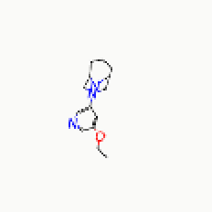 CCOc1cncc(N2CC3CCCC(C2)N3C)c1